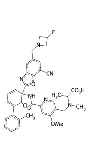 COc1cc(C(=O)NC2(c3nc4cc(CN5CC(F)C5)cc(C#N)c4o3)C=CC=C(c3ccccc3C)C2Cl)ncc1CN(C)C(C)C(=O)O